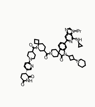 CC(C)n1cnc2cc(-c3ccc4c(c3)N(C3CC(N5CCCCC5)C3)C(=O)C43CCN(C(=O)C4CCC5(CCC5)N(C(=O)C5CCN(c6ccc([C@H]7CCC(=O)NC7=O)cn6)CC5)C4)CC3)nc(NC3CC3)c21